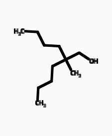 CCCCC(C)(CO)CCCC